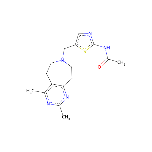 CC(=O)Nc1ncc(CN2CCc3nc(C)nc(C)c3CC2)s1